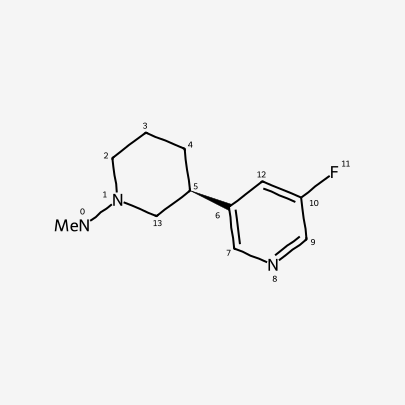 CNN1CCC[C@@H](c2cncc(F)c2)C1